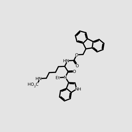 CCN(C(=O)C(CCCCNC(=O)O)NC(=O)OCC1c2ccccc2-c2ccccc21)c1c[nH]c2ccccc12